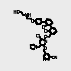 N#Cc1cncc(COc2nc(OCc3cccc(-c4cccc(-c5ccc(OCCNCCO)cc5)c4Cl)c3Cl)c(Cl)cc2CN2CCCC2)c1